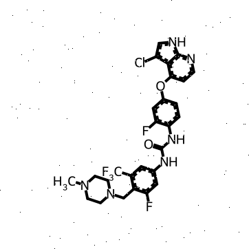 CN1CCN(Cc2c(F)cc(NC(=O)Nc3ccc(Oc4ccnc5[nH]cc(Cl)c45)cc3F)cc2C(F)(F)F)CC1